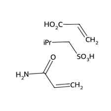 C=CC(=O)O.C=CC(N)=O.CC(C)CS(=O)(=O)O